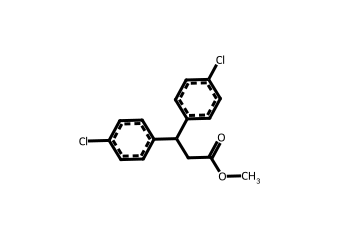 COC(=O)CC(c1ccc(Cl)cc1)c1ccc(Cl)cc1